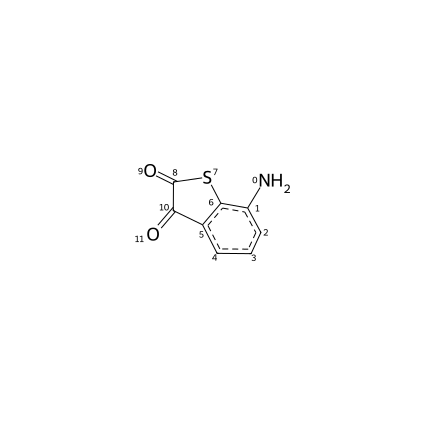 Nc1cccc2c1SC(=O)C2=O